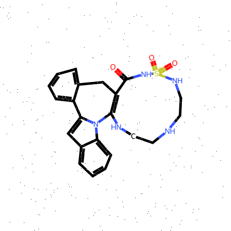 O=C1NS(=O)(=O)NCCNCCNC2=C1Cc1ccccc1-c1cc3ccccc3n12